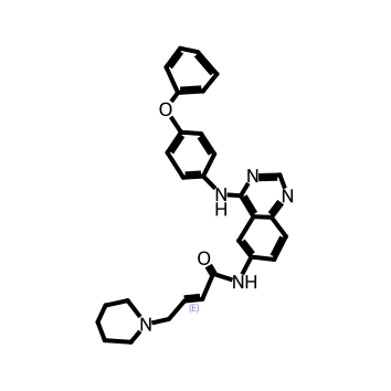 O=C(/C=C/CN1CCCCC1)Nc1ccc2ncnc(Nc3ccc(Oc4ccccc4)cc3)c2c1